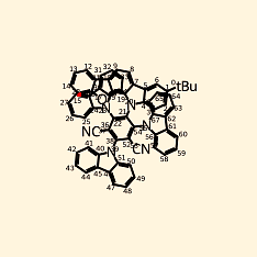 CC(C)(C)c1ccc2c(c1)c1ccc3c4ccccc4oc3c1n2-c1c(-n2c3ccccc3c3ccccc32)c(C#N)c(-n2c3ccccc3c3ccccc32)c(C#N)c1-n1c2ccccc2c2ccccc21